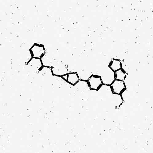 CCOc1cc(-c2ccc(N3CC4C(CNC(=O)c5ncccc5Cl)[C@H]4C3)nc2)c2c3cn[nH]c3nn2c1